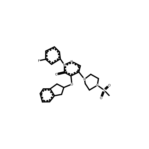 CS(=O)(=O)N1CCN(c2cnn(-c3cccc(F)c3)c(=O)c2OC2Cc3ccccc3C2)CC1